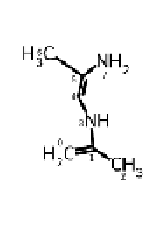 C=C(C)N/C=C(/C)N